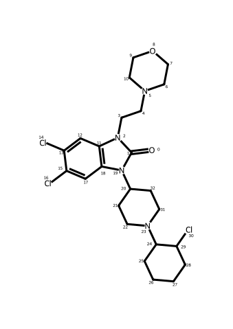 O=c1n(CCN2CCOCC2)c2cc(Cl)c(Cl)cc2n1C1CCN(C2CCCCC2Cl)CC1